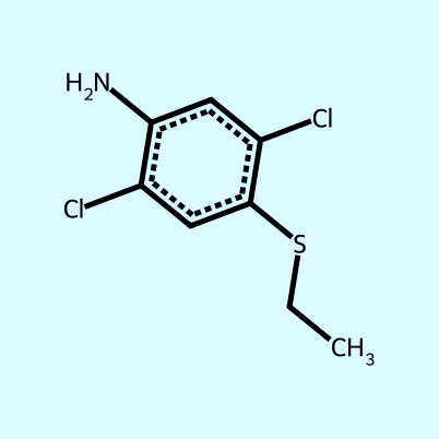 CCSc1cc(Cl)c(N)cc1Cl